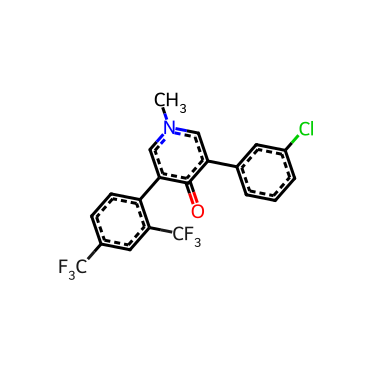 Cn1cc(-c2cccc(Cl)c2)c(=O)c(-c2ccc(C(F)(F)F)cc2C(F)(F)F)c1